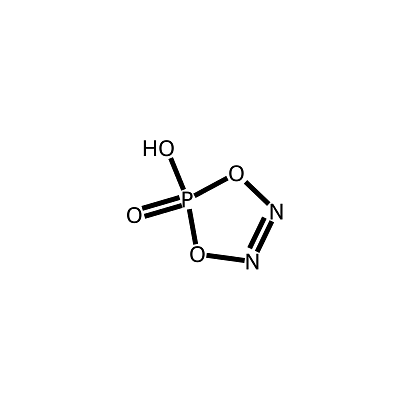 O=P1(O)ON=NO1